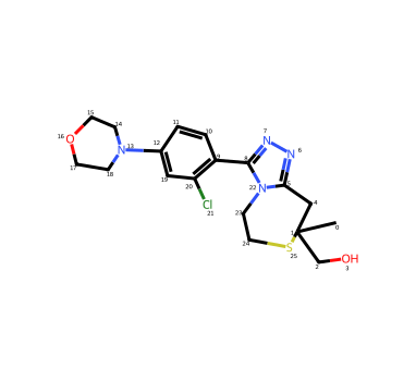 CC1(CO)Cc2nnc(-c3ccc(N4CCOCC4)cc3Cl)n2CCS1